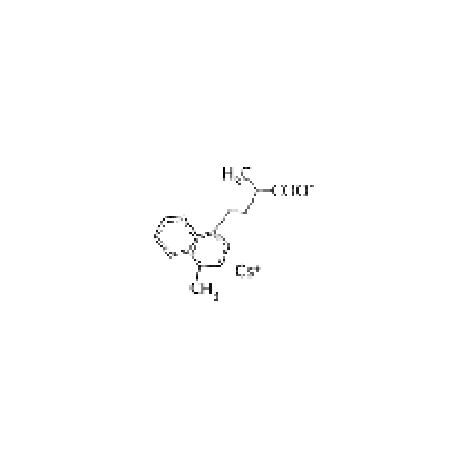 Cc1ccc(CCC(C)C(=O)[O-])c2ccccc12.[Cs+]